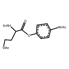 CSCCC(NC(C)=O)C(=O)Oc1ccc(NC(C)=O)cc1